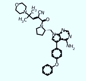 CC(C)(C=C(C#N)C(=O)N1CCC[C@H]1Cn1cc(-c2ccc(Oc3ccccc3)cc2)c2c(N)ncnc21)N1CCOCC1